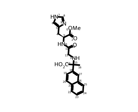 COC(=O)[C@H](Cc1c[nH]cn1)NC(=O)CNC(C)(C(=O)O)c1ccc2ccccc2c1